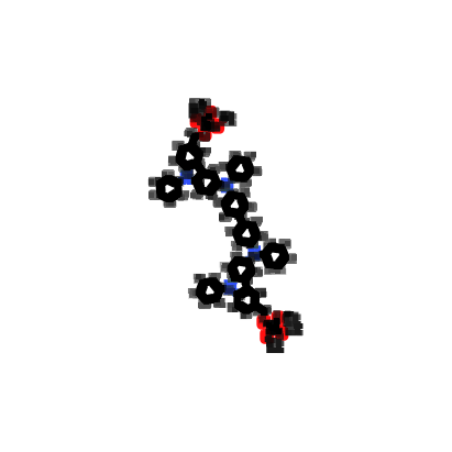 CCO[Si](OCC)(OCC)OCc1ccc2c(c1)c1cc(N(c3ccccc3)c3ccc(-c4ccc(N(c5ccccc5)c5ccc6c(c5)c5cc(CO[Si](OCC)(OCC)OCC)ccc5n6-c5ccccc5)cc4)cc3)ccc1n2-c1ccccc1